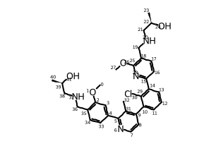 COc1cc(-c2nccc(-c3cccc(-c4ccc(CNC[C@@H](C)O)c(OC)n4)c3Cl)c2C)ccc1CNC[C@@H](C)O